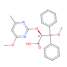 COc1cc(C)nc(O[C@H](C(=O)O)C(OC)(c2ccccc2)c2ccccc2)n1